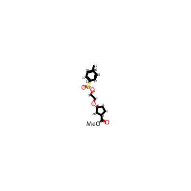 COC(=O)C1CCC(OCCOS(=O)c2ccc(C)cc2)C1